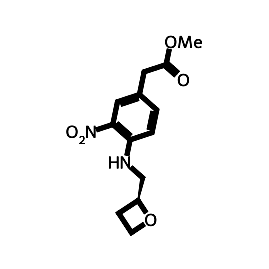 COC(=O)Cc1ccc(NC[C@@H]2CCO2)c([N+](=O)[O-])c1